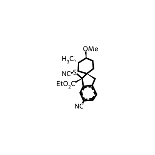 CCOC(=O)[C@]1(SC#N)c2cc(C#N)ccc2C[C@@]12CC[C@H](OC)[C@@H](C)C2